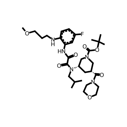 COCCCNc1ccc(F)cc1NC(=O)C(=O)N(CC(C)C)[C@H]1C[C@@H](C(=O)N2CCOCC2)CN(C(=O)OC(C)(C)C)C1